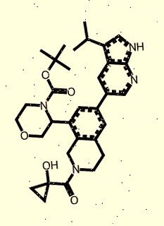 CC(C)c1c[nH]c2ncc(-c3cc4c(c(C5COCCN5C(=O)OC(C)(C)C)c3)CN(C(=O)C3(O)CC3)CC4)cc12